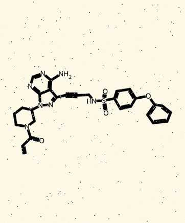 C=CC(=O)N1CCCC(n2nc(C#CCNS(=O)(=O)c3ccc(Oc4ccccc4)cc3)c3c(N)ncnc32)C1